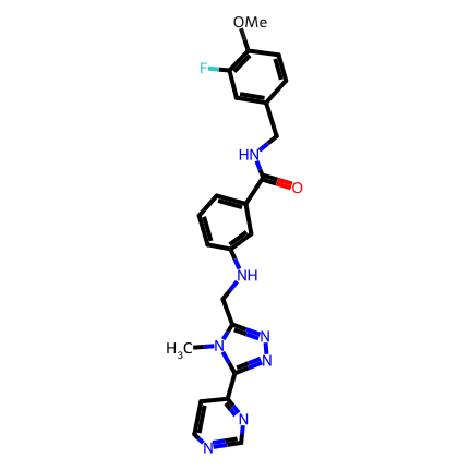 COc1ccc(CNC(=O)c2cccc(NCc3nnc(-c4ccncn4)n3C)c2)cc1F